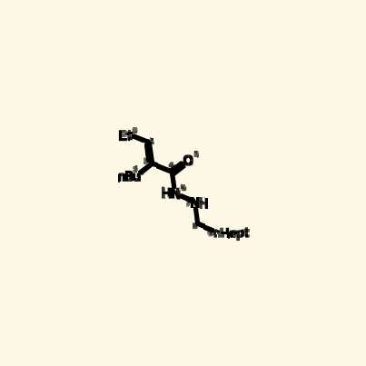 CC/C=C(\CCCC)C(=O)NNCCCCCCCC